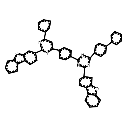 c1ccc(-c2ccc(-c3nc(-c4ccc(-c5cc(-c6ccccc6)nc(-c6ccc7c(c6)oc6ccccc67)n5)cc4)nc(-c4ccc5c(c4)oc4ccccc45)n3)cc2)cc1